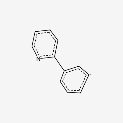 [c]1cccc(-c2ccccn2)c1